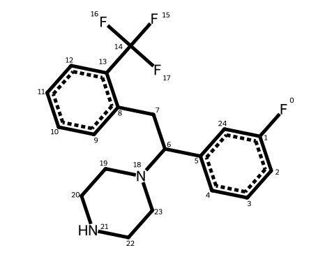 Fc1cccc(C(Cc2ccccc2C(F)(F)F)N2CCNCC2)c1